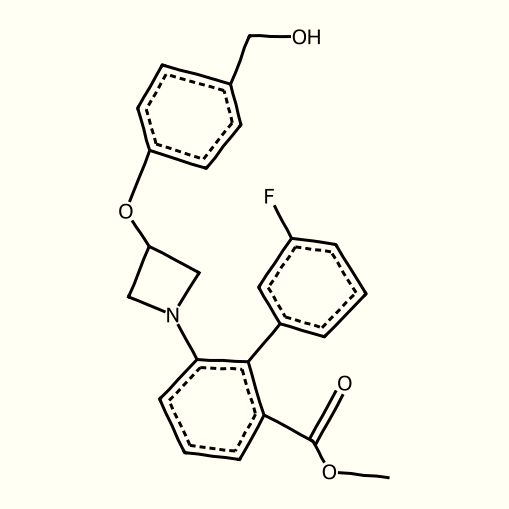 COC(=O)c1cccc(N2CC(Oc3ccc(CO)cc3)C2)c1-c1cccc(F)c1